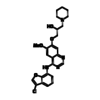 COc1cc2c(Nc3cccc4c(Cl)coc34)ncnc2cc1OCC(O)CN1CCCCC1